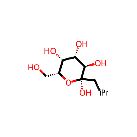 CC(C)C[C@@]1(O)O[C@H](CO)[C@H](O)[C@H](O)[C@H]1O